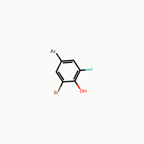 CC(=O)c1cc(F)c(O)c(Br)c1